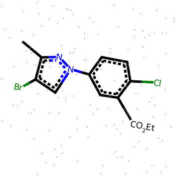 CCOC(=O)c1cc(-n2cc(Br)c(C)n2)ccc1Cl